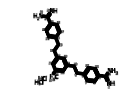 Cl.Cl.N=C(N)c1ccc(CCc2cc(CCc3ccc(C(=N)N)cc3)cc(C(F)(F)F)c2)cc1